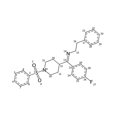 O=S(=O)(c1ccccc1)N1CCC(C(=NCCc2ccccc2)c2ccc(F)cc2)CC1